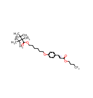 CC(C)C(C)(C)C(C)(C(=O)OCCCCCCOc1ccc(/C=C/C(=O)OCCCC(F)(F)F)cc1)C(C)(C)C(C)C